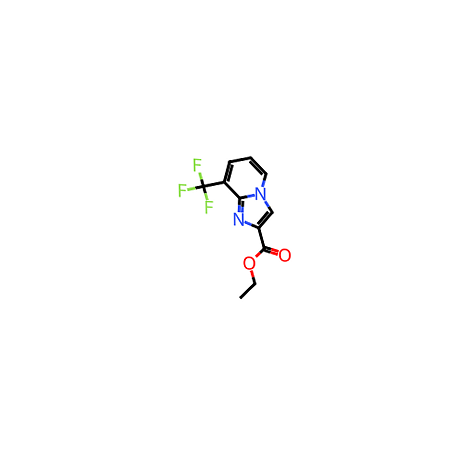 CCOC(=O)c1cn2cccc(C(F)(F)F)c2n1